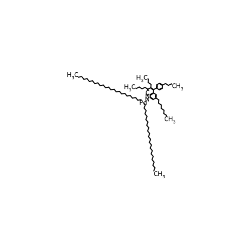 CCCCCCCCCCCCCCCCCCCCCCCC[CH2][Pd][CH2]CCCCCCCCCCCCCCCCCCCCCCCC.CCCCCCCCc1cccc(C(=C(CCCC)C(=C=[N+]=[N-])CCCCC)c2ccc(CCCC)cc2)c1